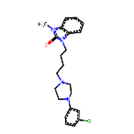 Cn1c(=O)n(CCCCN2CCN(c3cccc(Cl)c3)CC2)c2ccccc21